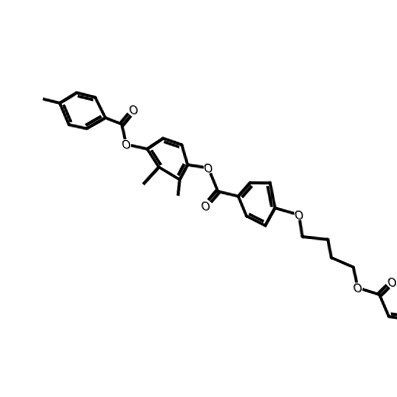 C=CC(=O)OCCCCOc1ccc(C(=O)Oc2ccc(OC(=O)c3ccc(C)cc3)c(C)c2C)cc1